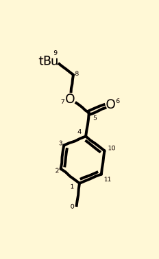 Cc1ccc(C(=O)OCC(C)(C)C)cc1